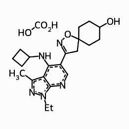 CCn1nc(C)c2c(NC3CCC3)c(C3=NOC4(CCC(O)CC4)C3)cnc21.O=C(O)O